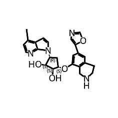 Cc1ccnc2c1ccn2[C@@H]1C[C@H](Oc2cc(-c3cnco3)cc3c2CNCC3)[C@@H](O)[C@H]1O